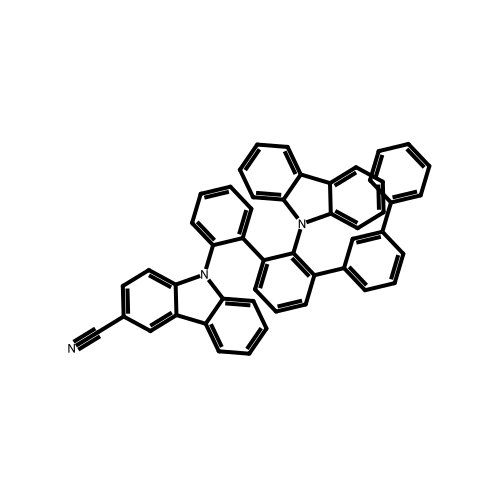 N#Cc1ccc2c(c1)c1ccccc1n2-c1ccccc1-c1cccc(-c2cccc(-c3ccccc3)c2)c1-n1c2ccccc2c2ccccc21